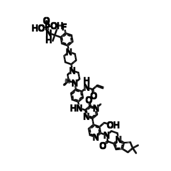 C=CC(=O)Nc1cc(Nc2nc(-c3ccnc(N4CCn5c(cc6c5CC(C)(C)C6)C4=O)c3CO)cn(C)c2=O)ccc1N1CCN(C2CCN(c3ccc(F)c(C(C)(C)NP(=O)(O)O)c3)CC2)C[C@@H]1C